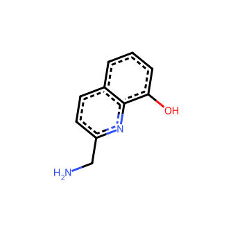 NCc1ccc2cccc(O)c2n1